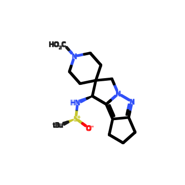 CC(C)(C)[S@+]([O-])N[C@@H]1c2c3c(nn2CC12CCN(C(=O)O)CC2)CCC3